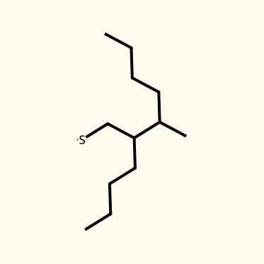 CCCCC(C)C(C[S])CCCC